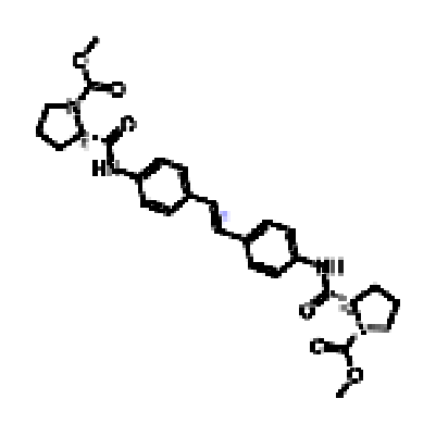 COC(=O)N1CCC[C@H]1C(=O)Nc1ccc(/C=C/c2ccc(NC(=O)[C@@H]3CCCN3C(=O)OC)cc2)cc1